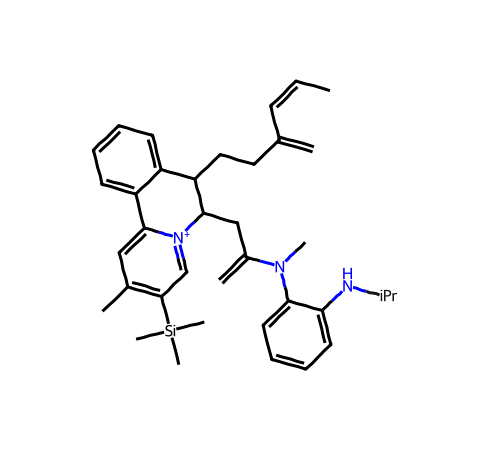 C=C(/C=C\C)CCC1c2ccccc2-c2cc(C)c([Si](C)(C)C)c[n+]2C1CC(=C)N(C)c1ccccc1NC(C)C